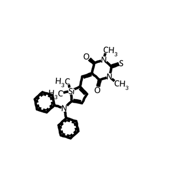 CN1C(=O)C(=CC2=CC=C(N(c3ccccc3)c3ccccc3)[Si]2(C)C)C(=O)N(C)C1=S